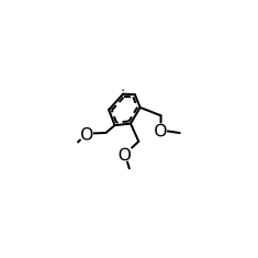 COCc1c[c]cc(COC)c1COC